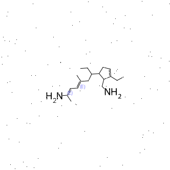 CCC1=CCC(C(CC)C/C(C)=C/C=C(\C)N)C1CN